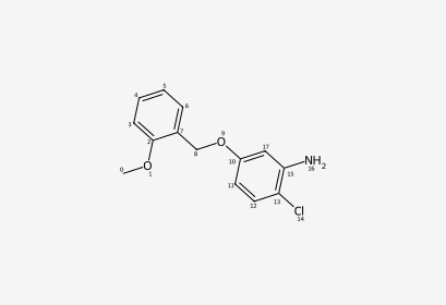 COc1ccccc1COc1ccc(Cl)c(N)c1